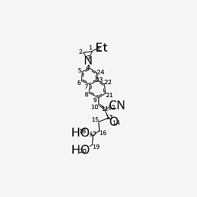 CCC1CN1c1ccc2cc(/C=C(\C#N)C(=O)CCC(O)CO)ccc2c1